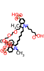 CCN1/C(=C/C=C/C=C/C=C/C2=[N+](CCCCCC(=O)O)c3ccc(S(=O)(=O)O)cc3C2(C)CCOCCOCCOC)C(C)(CCCS(=O)(=O)O)c2cc(S(=O)(=O)O)ccc21